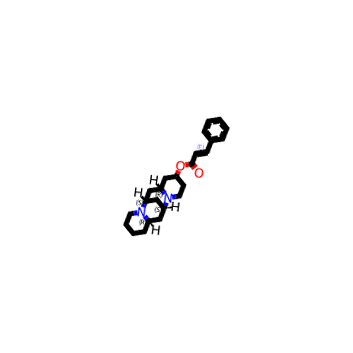 O=C(/C=C/c1ccccc1)OC1CCN2[C@@H]3C[C@@H](C[C@@H]2C1)N1CCCC[C@@H]1C3